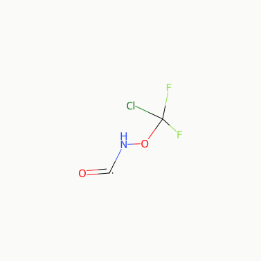 O=[C]NOC(F)(F)Cl